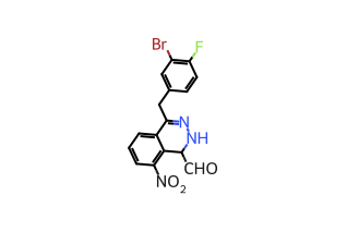 O=CC1NN=C(Cc2ccc(F)c(Br)c2)c2cccc([N+](=O)[O-])c21